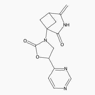 C=C1NC(=O)C2(N3CC(c4ccncn4)OC3=O)CC1C2